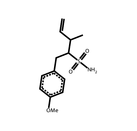 C=CC(C)C(Cc1ccc(OC)cc1)S(N)(=O)=O